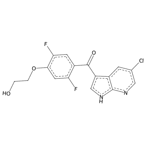 O=C(c1cc(F)c(OCCO)cc1F)c1c[nH]c2ncc(Cl)cc12